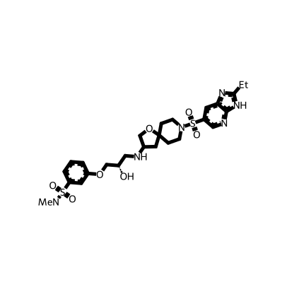 CCc1nc2cc(S(=O)(=O)N3CCC4(CC3)CC(NC[C@H](O)COc3cccc(S(=O)(=O)NC)c3)CO4)cnc2[nH]1